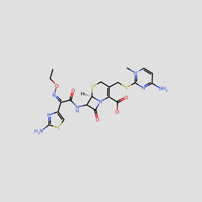 CCO/N=C(\C(=O)NC1C(=O)N2C(C(=O)[O-])=C(CSc3nc(N)cc[n+]3C)CS[C@H]12)c1csc(N)n1